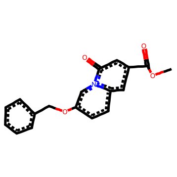 COC(=O)c1cc(=O)n2cc(OCc3ccccc3)ccc2c1